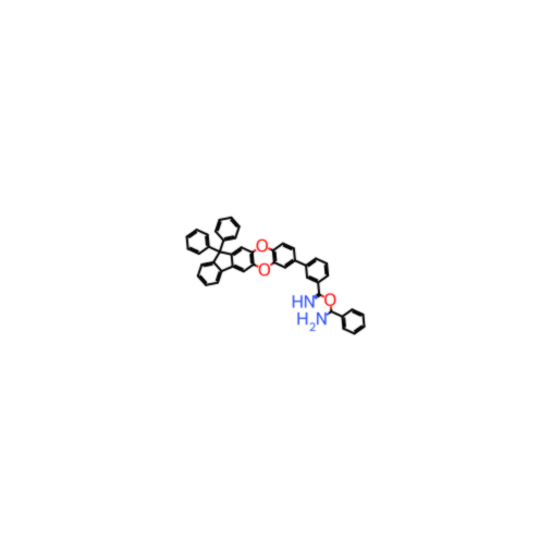 N=C(OC(N)c1ccccc1)c1cccc(-c2ccc3c(c2)Oc2cc4c(cc2O3)C(c2ccccc2)(c2ccccc2)c2ccccc2-4)c1